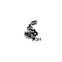 CC(C)(O)CN(c1cccc2cc(C3=NCC(CN4CCOCC4)S3)[nH]c12)S(=O)(=O)c1cccs1